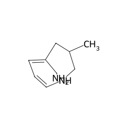 CC1CN/C=C\C=C(/CN)C1